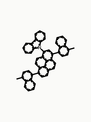 Cc1ccc(-c2ccc3ccc4c(-c5ccc(C)c6ccccc56)cc(-n5c6ccccc6c6ccccc65)c5ccc2c3c45)c2ccccc12